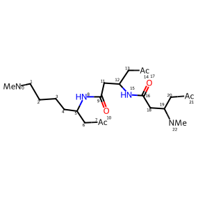 CNCCCCC(CC(C)=O)NC(=O)CC(CC(C)=O)NC(=O)CC(CC(C)=O)NC